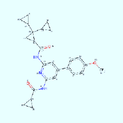 O=C(Nc1cc(-c2ccc(OC(F)(F)F)cc2)cc(NC(=O)C2CC2(C2CC2)C2CC2)n1)C1CC1